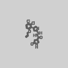 C=CCOc1ccc(Cl)c(Cl)c1[C@H]1CN=C(NNC(=O)C2CNC(=O)C2)C1